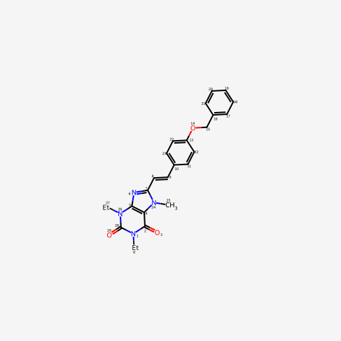 CCn1c(=O)c2c(nc(C=Cc3ccc(OCc4ccccc4)cc3)n2C)n(CC)c1=O